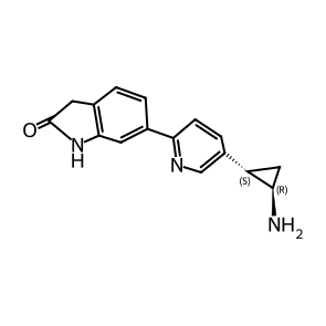 N[C@@H]1C[C@H]1c1ccc(-c2ccc3c(c2)NC(=O)C3)nc1